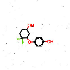 Oc1ccc(OC2CC(O)CCC2(F)F)cc1